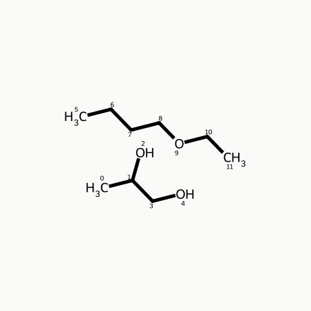 CC(O)CO.CCCCOCC